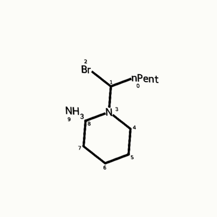 CCCCCC(Br)N1CCCCC1.N